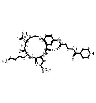 NCCCC[C@@H]1NC(=O)C(CCC(=O)O)NC(=O)c2cc(NC(=O)CCNC(=O)C3CCNCC3)ccc2OCC[C@@H](C(N)=O)NC1=O